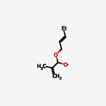 C=C(C)C([O])OCC=CCC